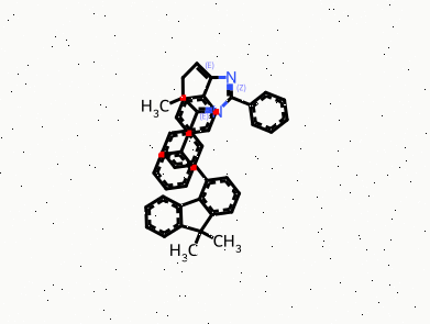 CC1C/C=C(c2ccc(-c3ccccc3)cc2)/N=C(c2ccccc2)\N=C/1c1cccc(-c2cccc3c2-c2ccccc2C3(C)C)c1